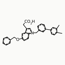 Cc1ccc(-c2cccc(Cn3cc(CC(=O)O)c4cc(OCc5ccccc5)ccc43)c2)cc1C